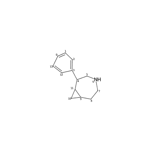 c1ccc(C2CNCCC3CC32)cc1